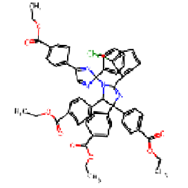 CCOC(=O)c1ccc(C2=NC(c3ccccc3Cl)(N3C(c4ccccc4Cl)=NC(c4ccc(C(=O)OCC)cc4)(c4ccc(C(=O)OCC)cc4)C3c3ccc(C(=O)OCC)cc3)N=C2)cc1